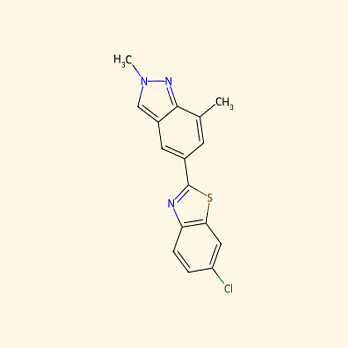 Cc1cc(-c2nc3ccc(Cl)cc3s2)cc2cn(C)nc12